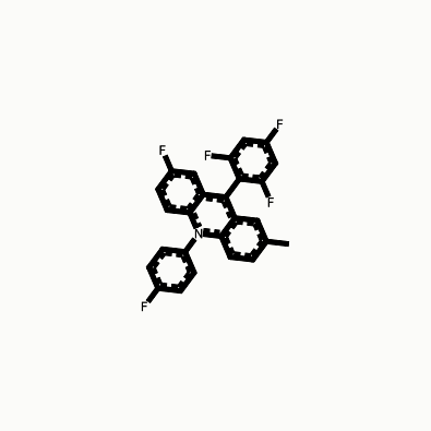 Cc1ccc2c(c1)c(-c1c(F)cc(F)cc1F)c1cc(F)ccc1[n+]2-c1ccc(F)cc1